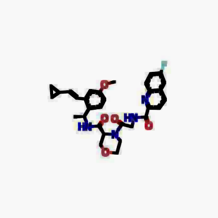 COc1ccc([C@H](C)NC(=O)[C@@H]2COCCN2C(=O)CNC(=O)c2ccc3cc(F)ccc3n2)c(/C=C/C2CC2)c1